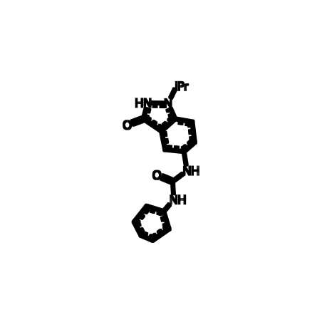 CC(C)n1[nH]c(=O)c2cc(NC(=O)Nc3ccccc3)ccc21